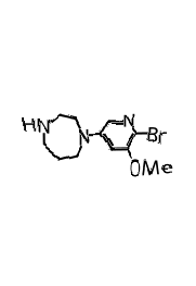 COc1cc(N2CCCNCC2)cnc1Br